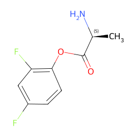 C[C@H](N)C(=O)Oc1ccc(F)cc1F